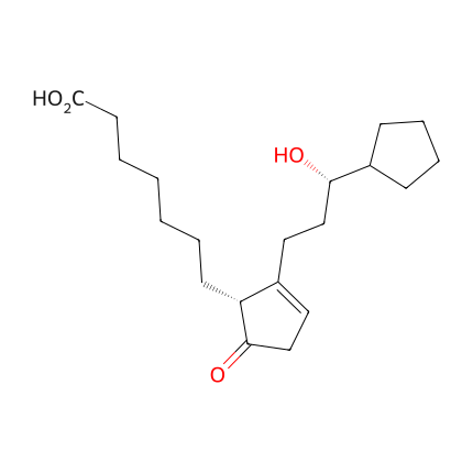 O=C(O)CCCCCC[C@H]1C(=O)CC=C1CC[C@H](O)C1CCCC1